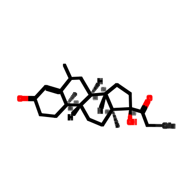 CC(=O)OCC(=O)[C@@]1(O)CC[C@H]2[C@@H]3CC(C)C4=CC(=O)CC[C@]4(C)[C@H]3CC[C@@]21C